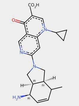 CC1C=C[C@@H](N)[C@H]2CN(c3cc4c(cn3)c(=O)c(C(=O)O)cn4C3CC3)C[C@@H]12